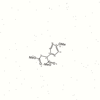 COC(=O)CC(C(=O)OC)c1ccc(OC)cc1